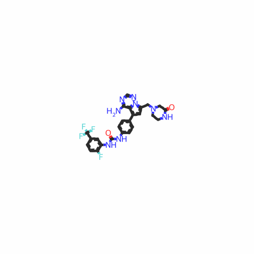 Nc1ncnn2c(CN3CCNC(=O)C3)cc(-c3ccc(NC(=O)Nc4cc(C(F)(F)F)ccc4F)cc3)c12